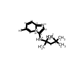 CC(C)(C)CC(C)(C)Nc1cnc2ccc(I)cn12